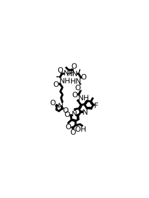 CCC1(O)C(=O)OCc2c1cc1n(c2=O)Cc2c-1nc1cc(F)c(C)cc1c2CNC(=O)COCNC(=O)[C@H](C)NC(=O)C(C)NC(=O)[C@H](C)NC(=O)CCCCCN1C(=O)CCC1=O